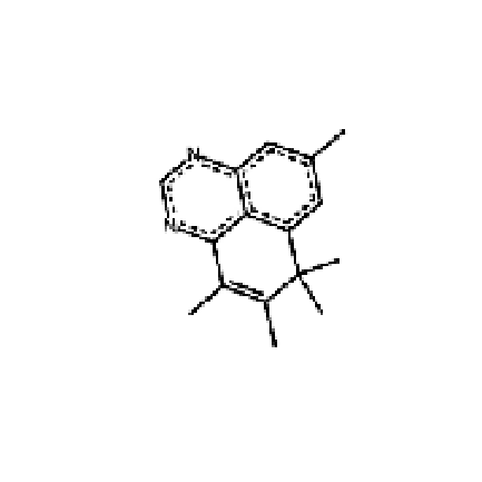 CC1=C(C)C(C)(C)c2cc(C)cc3ncnc1c23